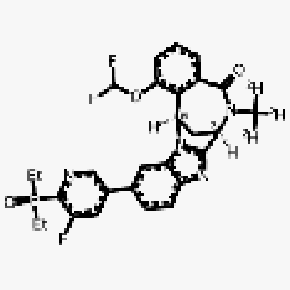 [2H]C([2H])([2H])N1C(=O)c2cccc(OC(F)F)c2[C@H]2C[C@@H]1c1nc3ccc(-c4cnc(P(=O)(CC)CC)c(F)c4)cc3n12